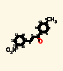 Cc1ccc(C(=O)/C=C/c2cccc([N+](=O)[O-])c2)cc1